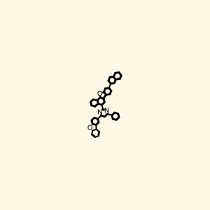 C1=CC2Oc3ccc(-c4cc(-c5ccccc5)nc(-c5cc6c7ccc(-c8ccc9ccccc9c8)cc7oc6c6ccccc56)n4)cc3C2C=C1